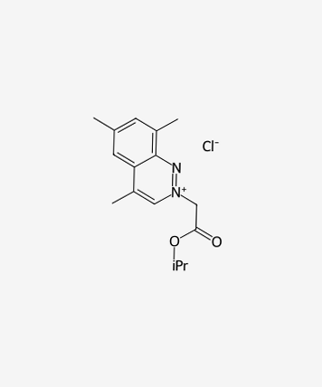 Cc1cc(C)c2n[n+](CC(=O)OC(C)C)cc(C)c2c1.[Cl-]